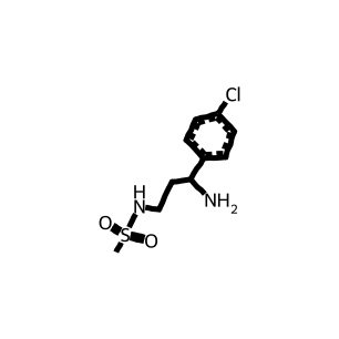 CS(=O)(=O)NCCC(N)c1ccc(Cl)cc1